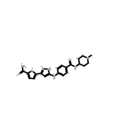 CN1CCC(NC(=O)c2ccc(Nc3cc(-c4ccc(C(N)=O)s4)n[nH]3)cc2)CC1